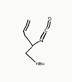 C=CC(CCCCC)N=C=O